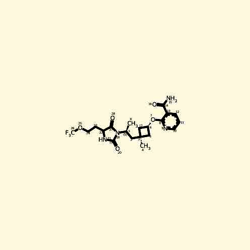 C[C@@H](C[C@]1(C)C[C@@H](Oc2ncccc2C(N)=O)C1)N1C(=O)NC(CCOC(F)(F)F)C1=O